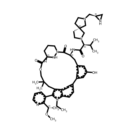 CCn1c(-c2cccnc2[C@H](C)OC)c2c3cc(ccc31)-c1cc(O)cc(c1)C[C@H](NC(=O)[C@H](C(C)C)N1CC[C@@]3(CCN(C[C@H]4CN4)C3)C1)C(=O)N1CCC[C@H](N1)C(=O)OCC(C)(C)C2